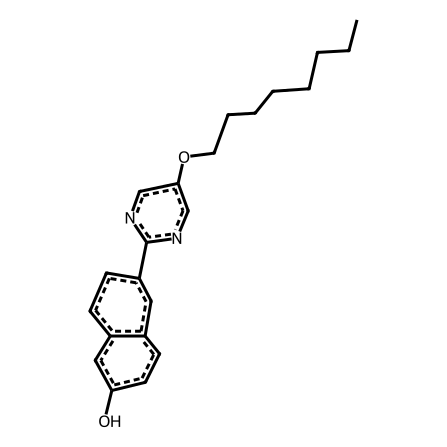 CCCCCCCCOc1cnc(-c2ccc3cc(O)ccc3c2)nc1